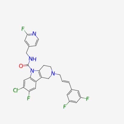 O=C(NCc1ccnc(F)c1)n1c2c(c3cc(F)c(Cl)cc31)CN(CC=Cc1cc(F)cc(F)c1)CC2